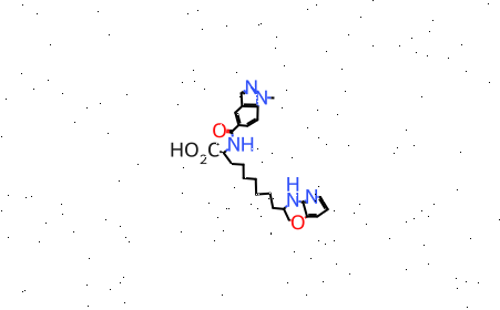 Cn1ncc2cc(C(=O)N[C@@H](CCCCCCCC3COc4cccnc4N3)C(=O)O)ccc21